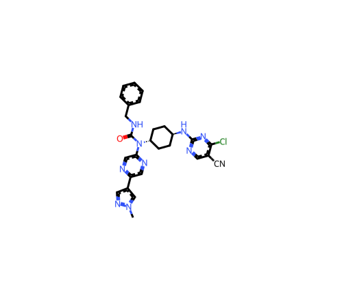 Cn1cc(-c2cnc(N(C(=O)NCc3ccccc3)[C@H]3CC[C@H](Nc4ncc(C#N)c(Cl)n4)CC3)cn2)cn1